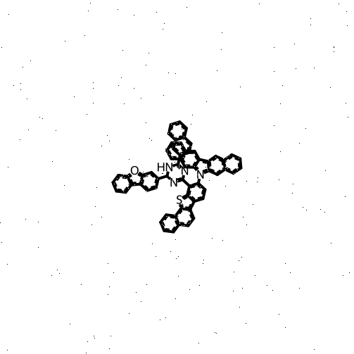 c1ccc2cc(C3=NC(c4c(-n5c6cc7ccccc7cc6c6cc7ccccc7cc65)ccc5c4sc4c6ccccc6ccc54)=NC(c4ccc5c(c4)oc4ccccc45)N3)ccc2c1